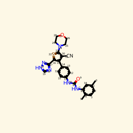 Cc1ccc(C)c(NC(=O)Nc2ccc(-c3c(-c4nc[nH]n4)sc(N4CCOCC4)c3C#N)cc2)c1